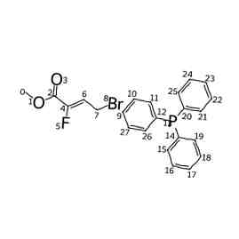 COC(=O)/C(F)=C/CBr.c1ccc(P(c2ccccc2)c2ccccc2)cc1